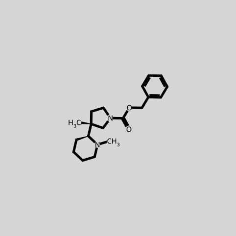 CN1CCCC[C@H]1[C@]1(C)CCN(C(=O)OCc2ccccc2)C1